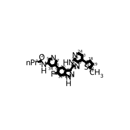 CCCC(=O)Nc1cncc(-c2cc3c(-c4nc5c(-c6ccc(C)s6)ccnc5[nH]4)n[nH]c3cc2F)c1